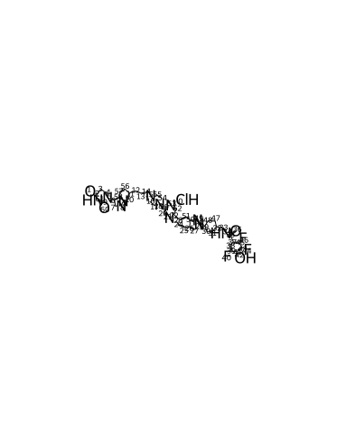 Cl.O=C1CCN(c2cnn3cc(CCCN4CCN(c5cnc(-c6ccc7cn(C8CCC(CNC(=O)c9cc(F)c(O)c(F)c9F)CC8)nc7c6)cn5)CC4)ccc23)C(=O)N1